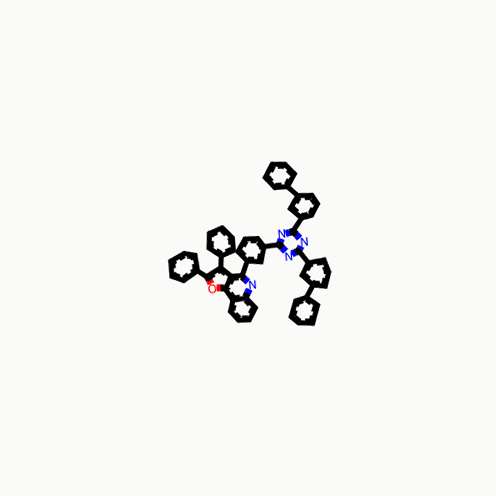 c1ccc(-c2cccc(-c3nc(-c4cccc(-c5ccccc5)c4)nc(-c4cccc(-c5nc6ccccc6c6oc(-c7ccccc7)c(-c7ccccc7)c56)c4)n3)c2)cc1